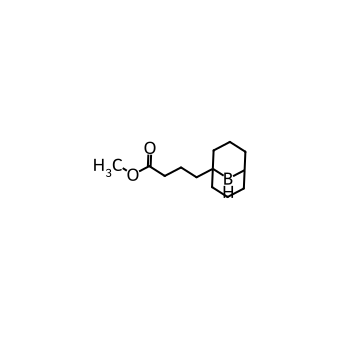 COC(=O)CCCC12BC(CCC1)CCC2